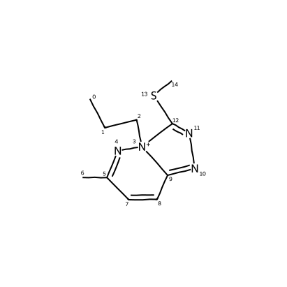 CCC[N+]12N=C(C)C=CC1=NN=C2SC